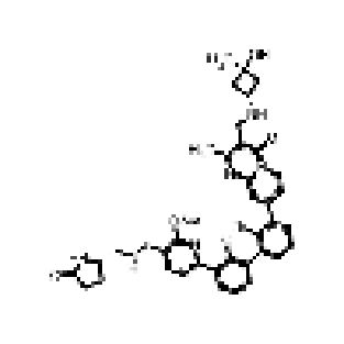 COc1nc(-c2cccc(-c3cccc(-c4ccn5c(=O)c(CN[C@H]6C[C@@](C)(O)C6)c(C)nc5c4)c3Cl)c2Cl)ccc1CNC[C@@H]1CCC(=O)N1